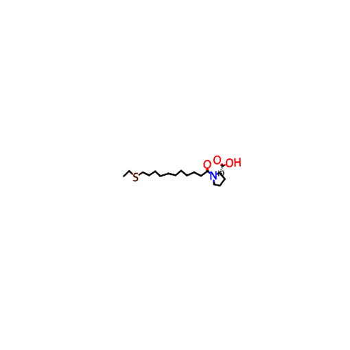 CCSCCCCCCCCCCC(=O)N1CCC[C@H]1C(=O)O